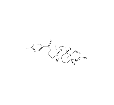 Cc1ccc(C(=O)[C@H]2CC[C@H]3[C@@H]4CC[C@H]5NC(=O)C=C[C@]5(C)[C@H]4CC[C@]23C)cc1